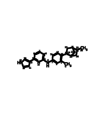 Cc1cc(Nc2nccc(-c3cc[nH]c3)n2)ccc1N1CC2CC1CN2C